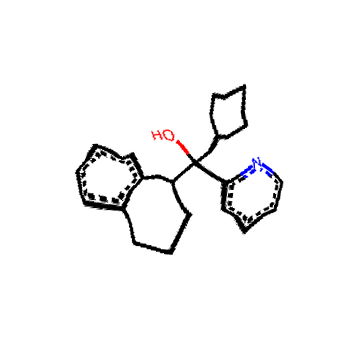 OC(c1ccccn1)(C1CCC1)C1CCCc2ccccc21